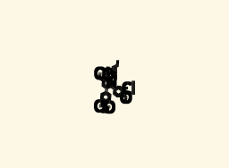 CCCCOc1nc(-c2ccc(OC)c(Cl)c2)c(-c2ccc(S(C)(=O)=O)cc2)cc1CO